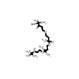 CCC(C)(CCOCCC(=O)C(C)(C)NC)OCCC(C)(C)OCCNC(C)(C)S